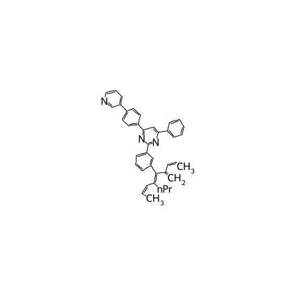 C=C(/C=C\C)/C(=C(/C=C\C)CCC)c1cccc(-c2nc(-c3ccccc3)cc(-c3ccc(-c4cccnc4)cc3)n2)c1